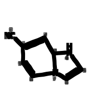 N#CC1=CC2NC=CN2C=C1